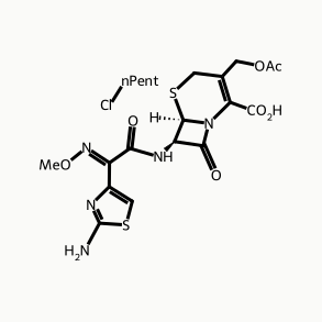 CCCCCCl.CO/N=C(/C(=O)N[C@@H]1C(=O)N2C(C(=O)O)=C(COC(C)=O)CS[C@H]12)c1csc(N)n1